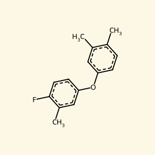 Cc1ccc(Oc2ccc(F)c(C)c2)cc1C